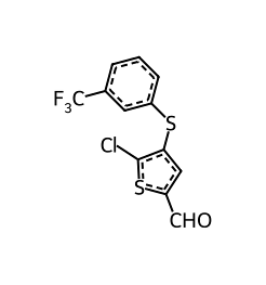 O=Cc1cc(Sc2cccc(C(F)(F)F)c2)c(Cl)s1